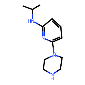 CC(C)Nc1cccc(N2CCNCC2)n1